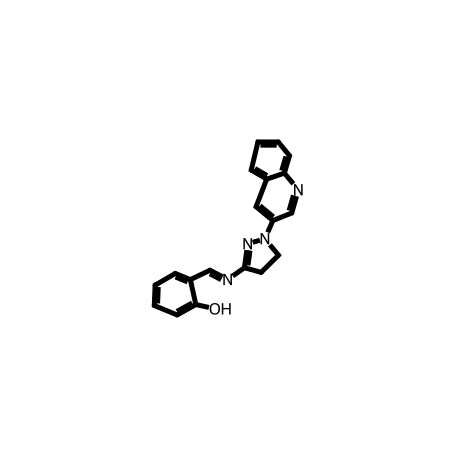 Oc1ccccc1C=NC1=NN(c2cnc3ccccc3c2)CC1